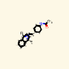 CC(=O)N[C@H]1CC[C@H](CCN2[C@@H]3CC[C@H]2c2ccccc23)CC1